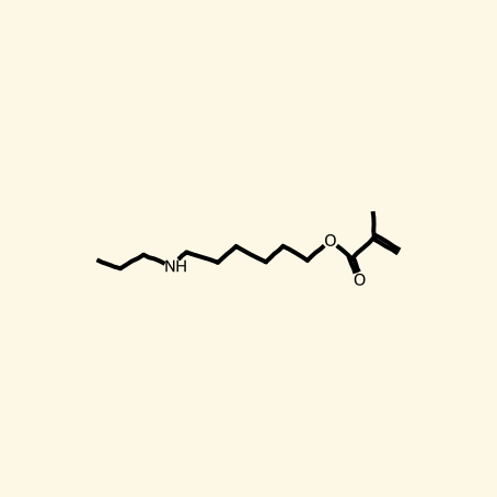 C=C(C)C(=O)OCCCCCCNCCC